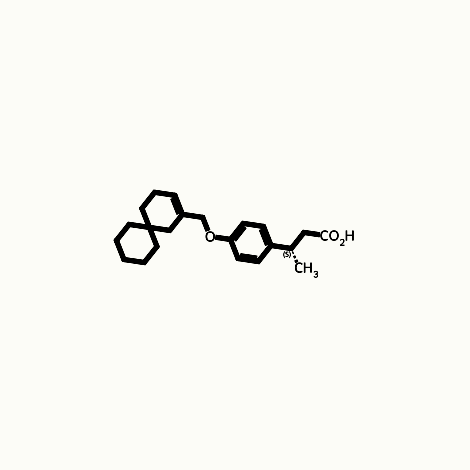 C[C@@H](CC(=O)O)c1ccc(OCC2=CCCC3(CCCCC3)C2)cc1